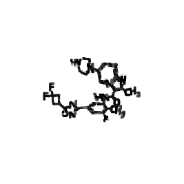 Cc1nc2ccc(N3CCNCC3)cn2c1C(=O)Nc1cc(-c2noc(C3CC(F)(F)C3)n2)cc(F)c1C